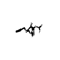 C#CCOc1snc(OC(F)F)c1C#N